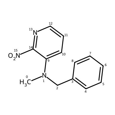 CN(Cc1ccccc1)c1cccnc1[N+](=O)[O-]